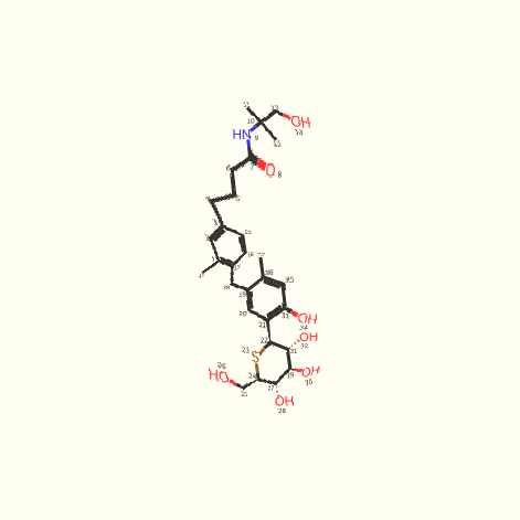 Cc1cc(CCCC(=O)NC(C)(C)CO)ccc1Cc1cc([C@@H]2S[C@H](CO)[C@@H](O)[C@H](O)[C@H]2O)c(O)cc1C